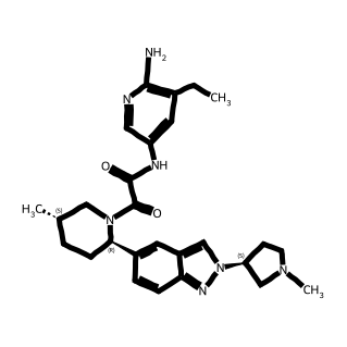 CCc1cc(NC(=O)C(=O)N2C[C@@H](C)CC[C@@H]2c2ccc3nn([C@H]4CCN(C)C4)cc3c2)cnc1N